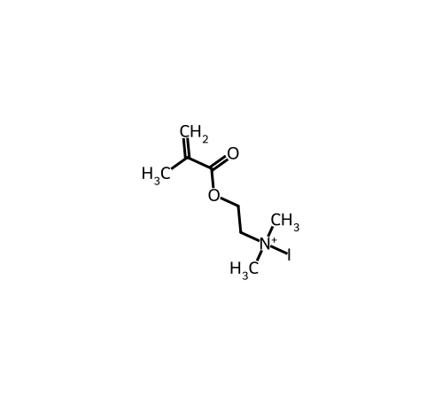 C=C(C)C(=O)OCC[N+](C)(C)I